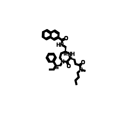 CCCCN(C)C(=O)CC[C@@H]1N[C@H](CNC(=O)c2ccc3ccccc3c2)CCN(C[C@@H](CC)c2ccccc2)C1=O